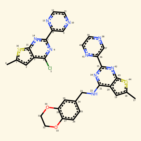 Cc1cc2c(Cl)nc(-c3cnccn3)nc2s1.Cc1cc2c(NCc3ccc4c(c3)OCCO4)nc(-c3cnccn3)nc2s1